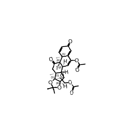 CC(=O)OCC(=O)[C@@]12OC(C)(C)O[C@@H]1C[C@H]1[C@@H]3C=C(OC(C)=O)C4=CC(=O)C=C[C@]4(C)[C@@]3(F)C(=O)C[C@@]12C